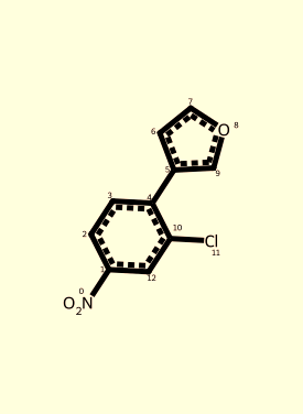 O=[N+]([O-])c1ccc(-c2ccoc2)c(Cl)c1